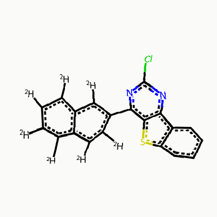 [2H]c1c([2H])c([2H])c2c([2H])c(-c3nc(Cl)nc4c3sc3ccccc34)c([2H])c([2H])c2c1[2H]